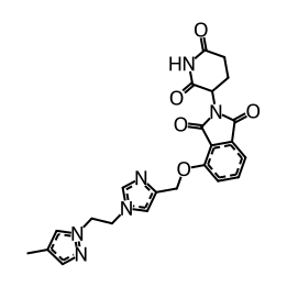 Cc1cnn(CCn2cnc(COc3cccc4c3C(=O)N(C3CCC(=O)NC3=O)C4=O)c2)c1